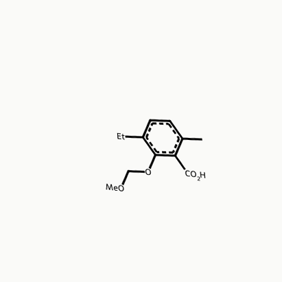 CCc1ccc(C)c(C(=O)O)c1OCOC